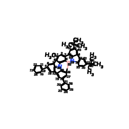 Cc1cc2c3c4c1c1cc(-c5ccccc5)cc5c6cc(-c7ccccc7)cc(c6n4c51)B3n1c3ccc(C(C)(C)C)cc3c3cc(C(C)(C)C)cc-2c31